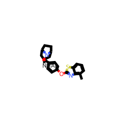 CC(=O)NC1CC2CCC(C1)N2Cc1ccc(Oc2nc3c(C)cccc3s2)cc1